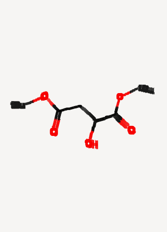 CC(C)(C)OC(=O)CC(O)C(=O)OC(C)(C)C